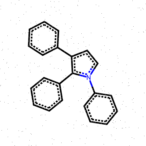 c1ccc(-c2ccn(-c3ccccc3)c2-c2ccccc2)cc1